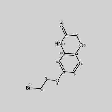 O=C1COc2ccc(OCCBr)cc2N1